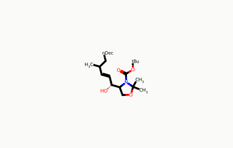 CCCCCCCCCCCC(C)/C=C/[C@@H](O)C1COC(C)(C)N1C(=O)OC(C)(C)C